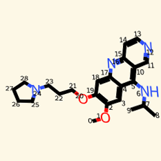 COc1cc2c(NC(C)C)c3cnccc3nc2cc1OCCCN1CCCC1